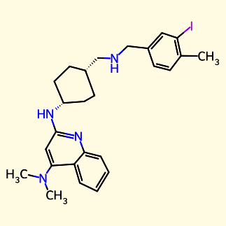 Cc1ccc(CNC[C@H]2CC[C@@H](Nc3cc(N(C)C)c4ccccc4n3)CC2)cc1I